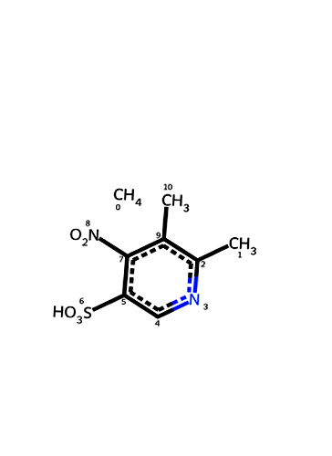 C.Cc1ncc(S(=O)(=O)O)c([N+](=O)[O-])c1C